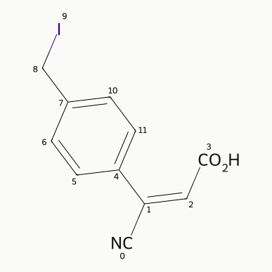 N#C/C(=C/C(=O)O)c1ccc(CI)cc1